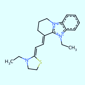 CCN1CCSC1=CC=C1CCCn2c1[n+](CC)c1ccccc12